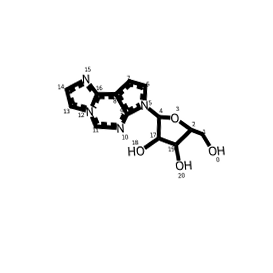 OCC1OC(n2ccc3c2ncn2ccnc32)C(O)C1O